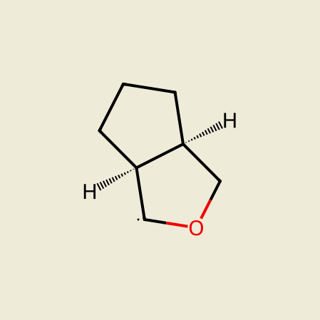 [CH]1OC[C@@H]2CCC[C@H]12